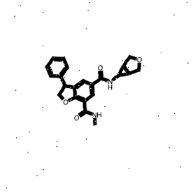 CNC(=O)c1cc(C(=O)NC2C3COCC32)cc2c1OCC2c1ccccc1